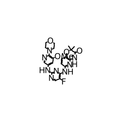 COc1cc(Nc2ncc(F)c(Nc3ccc4c(n3)NC(=O)C(C)(C)O4)n2)cnc1N1CCOCC1